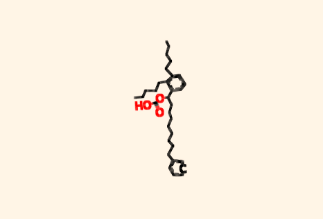 CCCCCc1cccc(C(CCCCCCCCc2ccccc2)OC(=O)O)c1CCCCC